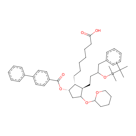 CC(C)(C)[Si](C)(C)OC(CC[C@H]1C(OC2CCCCO2)C[C@H](OC(=O)c2ccc(-c3ccccc3)cc2)[C@@H]1CCCCCCC(=O)O)Cc1ccccc1